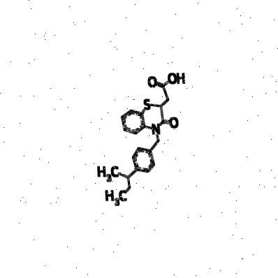 CCC(C)c1ccc(CN2C(=O)C(CC(=O)O)Sc3ccccc32)cc1